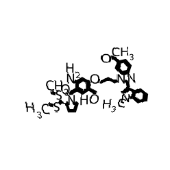 CCSC(SCC)[C@@H]1CCCN1C(=O)c1cc(CO)c(OCCCn2c(-c3cn(C)c4ccccc34)nc3ccc(C(C)=O)cc32)cc1N